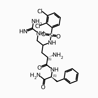 N=C(N)NCC(C[C@H](N)C(=O)N[C@@H](Cc1ccccc1)C(N)=O)NS(=O)(=O)c1cccc(Cl)c1Cl